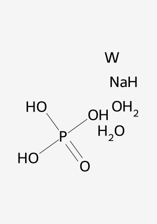 O.O.O=P(O)(O)O.[NaH].[W]